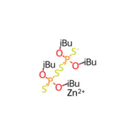 CCC(C)OP(=S)([S-])OC(C)CC.CCC(C)OP(=S)([S-])OC(C)CC.[Zn+2]